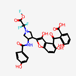 O=C(NC1CN(C(F)(F)C(=O)OF)CC1c1oc2ccc(O)c(C(=O)c3c(O)cccc3C(=O)O)c2c1O)c1ccc(O)cc1